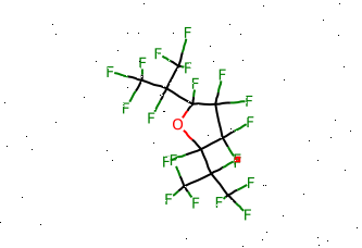 FC(F)(F)C(F)(C(F)(F)F)C1(F)OC(F)(C(F)(C(F)(F)F)C(F)(F)F)C(F)(F)C1(F)F